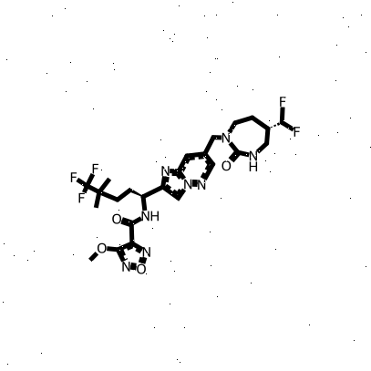 COc1nonc1C(=O)N[C@@H](CCC(C)(C)C(F)(F)F)c1cn2ncc(CN3CC[C@H](C(F)F)CNC3=O)cc2n1